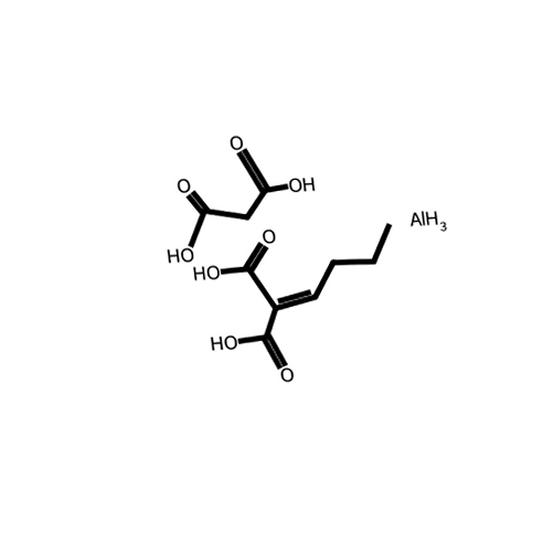 CCCC=C(C(=O)O)C(=O)O.O=C(O)CC(=O)O.[AlH3]